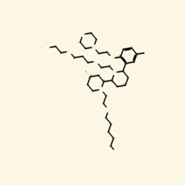 COCCCCCOCCN1CC[C@@H](C)CC1C1C[C@@H](C)CC(c2cc(C)ccc2OCCN2CCNCC2)N1CCOCCCOCCOC